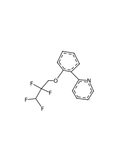 FC(F)C(F)(F)COc1ccccc1-c1cc[c]cn1